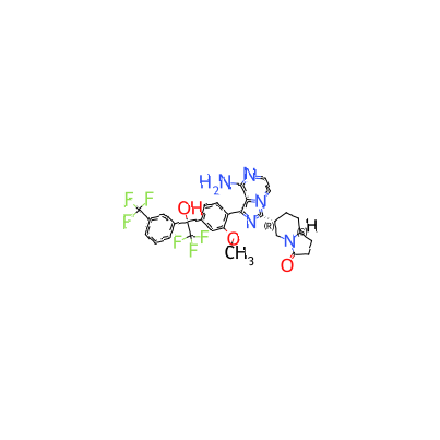 COc1cc(C(O)(c2cccc(C(F)(F)F)c2)C(F)(F)F)ccc1-c1nc([C@@H]2CC[C@H]3CCC(=O)N3C2)n2ccnc(N)c12